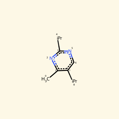 Cc1nc(C(C)C)ncc1C(C)C